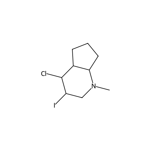 CN1CC(I)C(Cl)C2CCCC21